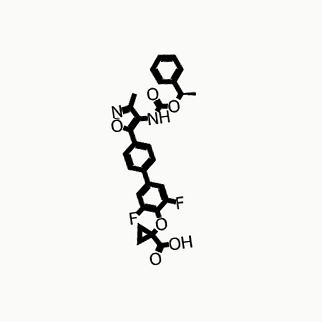 Cc1noc(-c2ccc(-c3cc(F)c(OC4(C(=O)O)CC4)c(F)c3)cc2)c1NC(=O)O[C@H](C)c1ccccc1